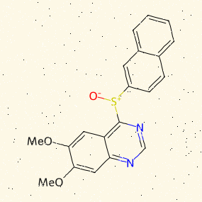 COc1cc2ncnc([S+]([O-])c3ccc4ccccc4c3)c2cc1OC